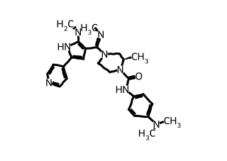 C=Nc1[nH]c(-c2ccncc2)cc1/C(=N\C)N1CCN(C(=O)Nc2ccc(N(C)C)cc2)[C@H](C)C1